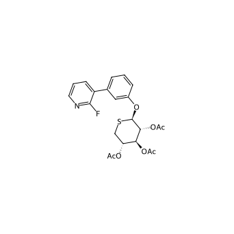 CC(=O)O[C@@H]1[C@@H](OC(C)=O)[C@H](OC(C)=O)CS[C@H]1Oc1cccc(-c2cccnc2F)c1